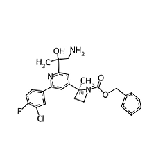 CC(O)(CN)c1cc([C@]2(C)CCN2C(=O)OCc2ccccc2)cc(-c2ccc(F)c(Cl)c2)n1